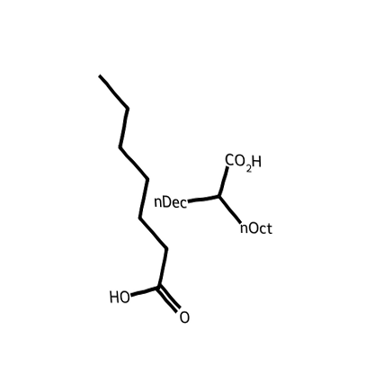 CCCCCCC(=O)O.CCCCCCCCCCC(CCCCCCCC)C(=O)O